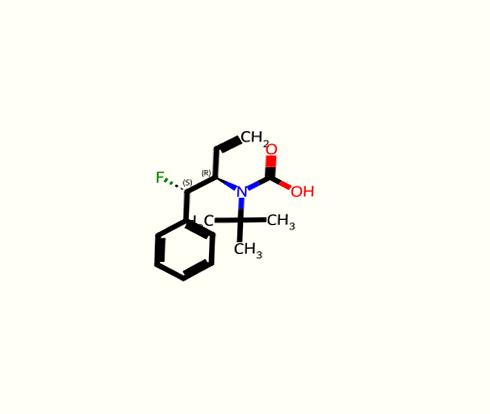 C=C[C@H]([C@@H](F)c1ccccc1)N(C(=O)O)C(C)(C)C